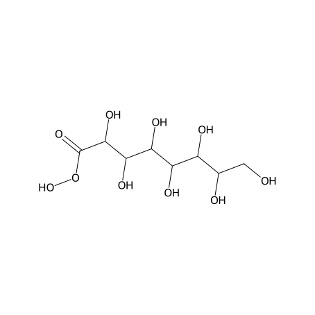 O=C(OO)C(O)C(O)C(O)C(O)C(O)C(O)CO